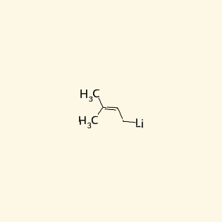 [Li][CH2]C=C(C)C